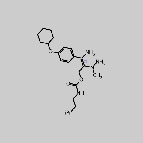 CC(C)CCNC(=O)OC/C(=C(/N)c1ccc(OC2CCCCC2)cc1)N(C)N